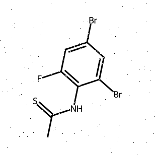 CC(=S)Nc1c(F)cc(Br)cc1Br